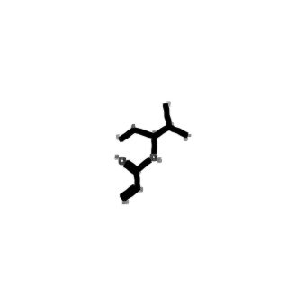 [CH2]C(C)C(CC)OC(=O)C=C